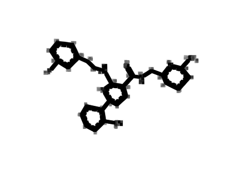 N#Cc1ccccc1-c1ccc(C(=O)NCc2cccc(C(F)(F)F)n2)c(NCCc2cccc(F)c2)n1